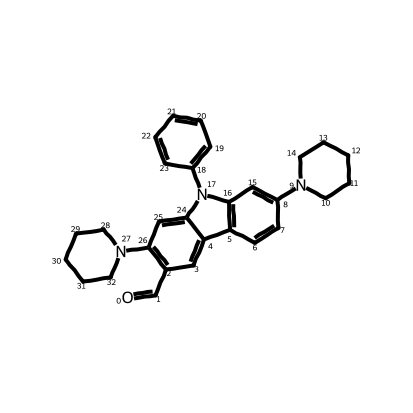 O=Cc1cc2c3ccc(N4CCCCC4)cc3n(-c3ccccc3)c2cc1N1CCCCC1